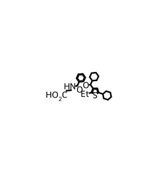 CCc1sc(C2CCCCC2)cc1C(Oc1ccccc1C(=O)NCCC(=O)O)C1CCCCC1